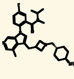 Cc1cncc2c1c(CC1CN(C[C@H]3CC[C@H](N)CC3)C1)cn2-c1ccc(F)cc1C(=O)N(C)C(C)C